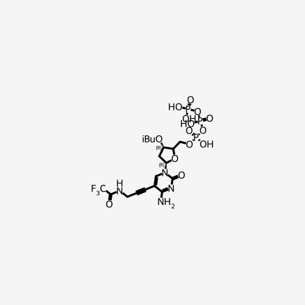 CC(C)CO[C@@H]1C[C@H](n2cc(C#CCNC(=O)C(F)(F)F)c(N)nc2=O)OC1COP(=O)(O)OP(=O)(O)OP(=O)(O)O